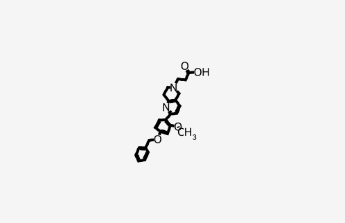 COc1cc(OCc2ccccc2)ccc1-c1ccc2c(n1)CCN(CCC(=O)O)C2